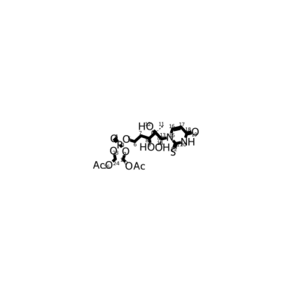 CC(=O)OCOP(=O)(OCCC(O)[C@@](C)(O)[C@@H](O)n1ccc(=O)[nH]c1=S)OCOC(C)=O